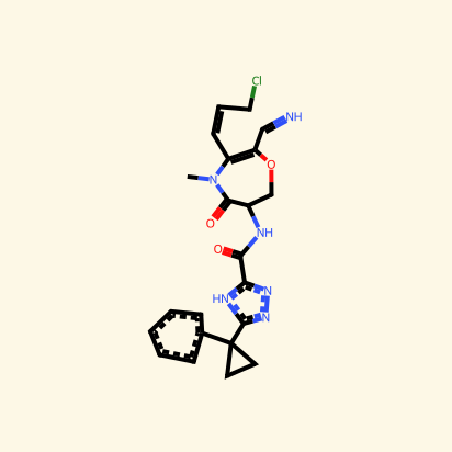 CN1C(=O)C(NC(=O)c2nnc(C3(c4ccccc4)CC3)[nH]2)COC(C=N)=C1/C=C\CCl